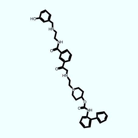 O=C(Nc1ccccc1-c1ccccc1)OC1CCN(CCNCC(=O)c2cccc(C(=O)NCCNCc3cccc(O)c3)c2)CC1